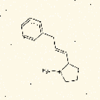 CN1CCCC1C=CCc1cccnc1